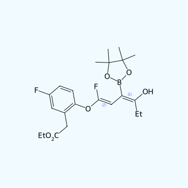 CCOC(=O)Cc1cc(F)ccc1O/C(F)=C/C(B1OC(C)(C)C(C)(C)O1)=C(/O)CC